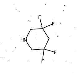 FC1(F)CNCC(F)(F)C1